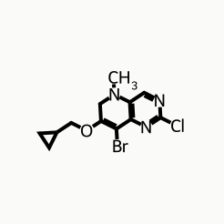 CN1CC(OCC2CC2)=C(Br)c2nc(Cl)ncc21